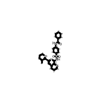 Cc1cccnc1-c1cc2cccnc2c(NS(=O)(=O)c2ccc(NC(=O)c3ccccc3)cc2)n1